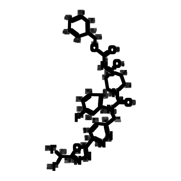 O=C(N=S1(=O)CCN(C(=O)N(Cc2ccc(-c3nnc(C(F)F)o3)nn2)c2cccc(F)c2)CC1)OCc1ccccc1